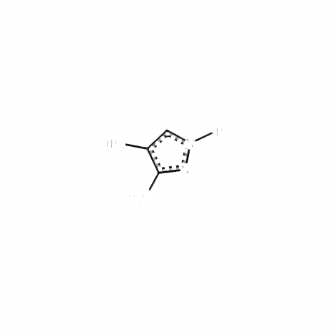 Cc1nn(C(C)C)cc1C(C)(C)C